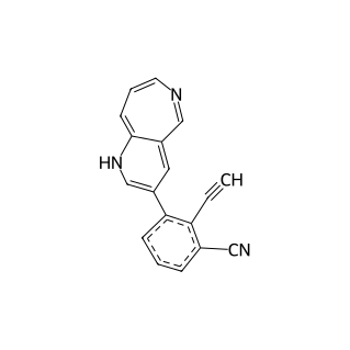 C#Cc1c(C#N)cccc1C1=CNC2=CC=CN=CC2=C1